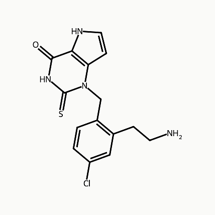 NCCc1cc(Cl)ccc1Cn1c(=S)[nH]c(=O)c2[nH]ccc21